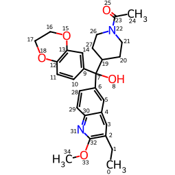 CCc1cc2cc(C(O)(c3ccc4c(c3)OCCO4)C3CCN(C(C)=O)CC3)ccc2nc1OC